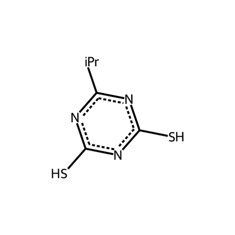 CC(C)c1nc(S)nc(S)n1